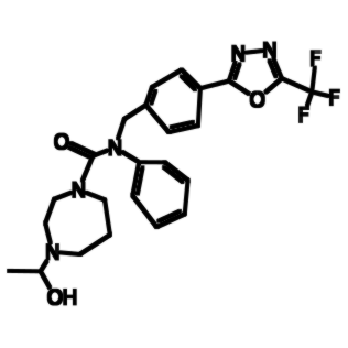 CC(O)N1CCCN(C(=O)N(Cc2ccc(-c3nnc(C(F)(F)F)o3)cc2)c2ccccc2)CC1